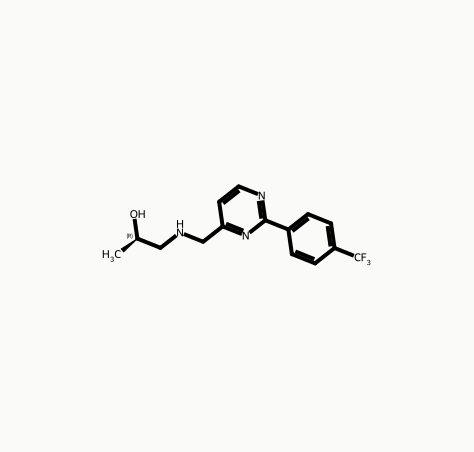 C[C@@H](O)CNCc1ccnc(-c2ccc(C(F)(F)F)cc2)n1